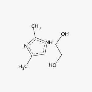 Cc1c[nH]c(C)n1.OCCO